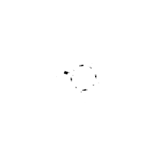 C=[Si]1O[SiH2]O[SiH2]O[SiH2]O1